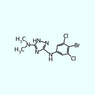 CN(C)c1nc(Nc2cc(Cl)c(Br)c(Cl)c2)n[nH]1